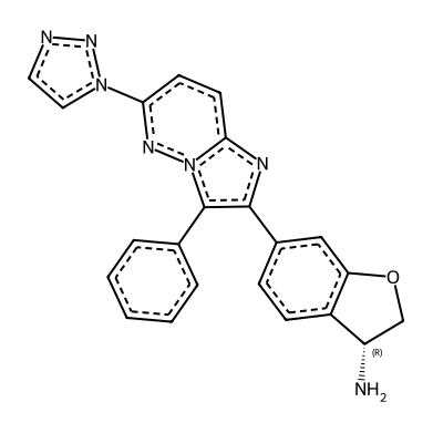 N[C@H]1COc2cc(-c3nc4ccc(-n5ccnn5)nn4c3-c3ccccc3)ccc21